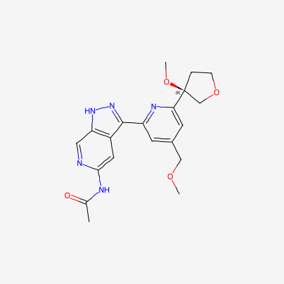 COCc1cc(-c2n[nH]c3cnc(NC(C)=O)cc23)nc([C@]2(OC)CCOC2)c1